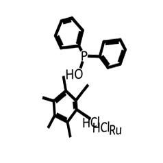 Cc1c(C)c(C)c(C)c(C)c1C.Cl.Cl.OP(c1ccccc1)c1ccccc1.[Ru]